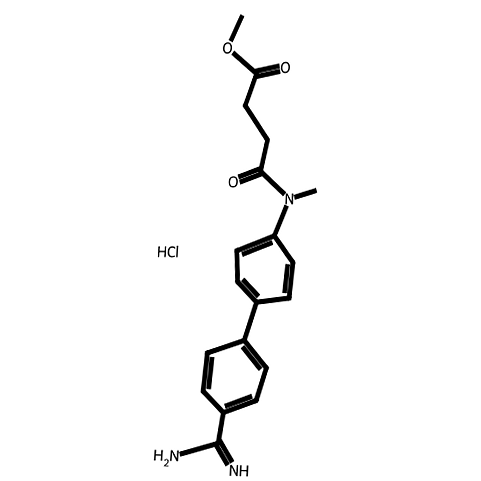 COC(=O)CCC(=O)N(C)c1ccc(-c2ccc(C(=N)N)cc2)cc1.Cl